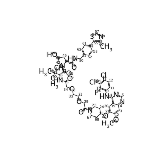 COc1cc2ncnc(Nc3ccc(Cl)c(Cl)c3F)c2cc1OC1CCN(C(=O)COCCOCC(=O)NC(C(=O)N2C[C@H](O)C[C@H]2C(=O)NCc2ccc(-c3scnc3C)cc2)C(C)(C)C)CC1